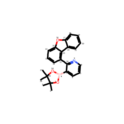 CC1(C)OB(c2cccnc2-c2cccc3oc4ccccc4c23)OC1(C)C